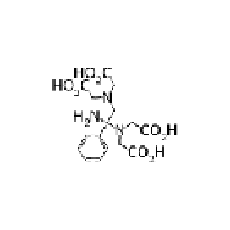 NC(CN(CC(=O)O)CC(=O)O)(c1ccccc1)N(CC(=O)O)CC(=O)O